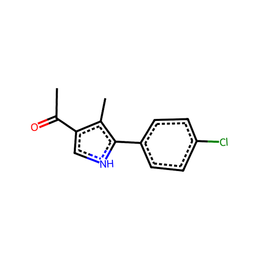 CC(=O)c1c[nH]c(-c2ccc(Cl)cc2)c1C